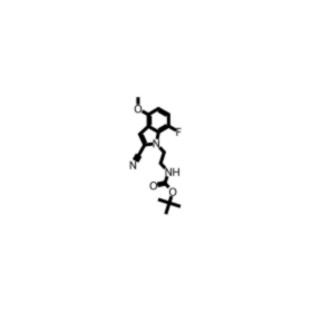 COc1ccc(F)c2c1cc(C#N)n2CCNC(=O)OC(C)(C)C